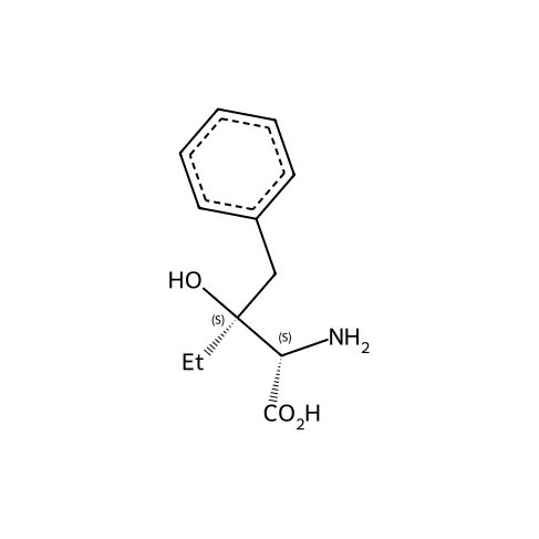 CC[C@](O)(Cc1ccccc1)[C@H](N)C(=O)O